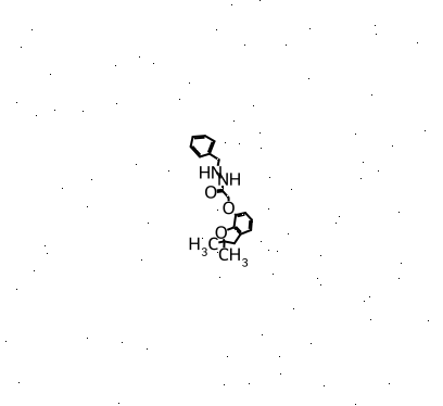 CC1(C)Cc2cccc(OCC(=O)NNCc3ccccc3)c2O1